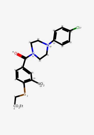 CCOC(=O)CSc1ccc(C(=O)N2CCN(c3ccc(Cl)cc3)CC2)cc1[N+](=O)[O-]